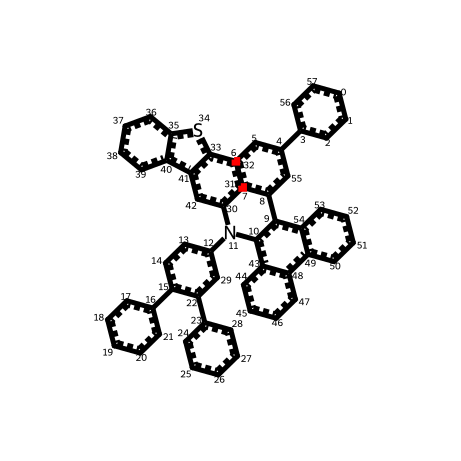 c1ccc(-c2cccc(-c3c(N(c4ccc(-c5ccccc5)c(-c5ccccc5)c4)c4ccc5sc6ccccc6c5c4)c4ccccc4c4ccccc34)c2)cc1